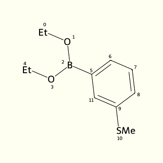 CCOB(OCC)c1cccc(SC)c1